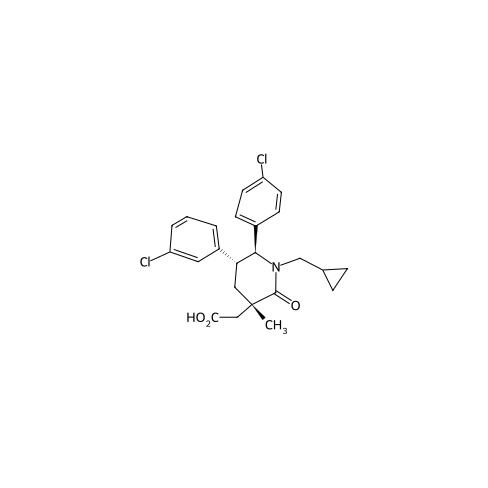 C[C@@]1(CC(=O)O)C[C@H](c2cccc(Cl)c2)[C@@H](c2ccc(Cl)cc2)N(CC2CC2)C1=O